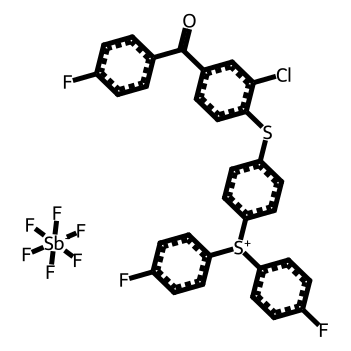 O=C(c1ccc(F)cc1)c1ccc(Sc2ccc([S+](c3ccc(F)cc3)c3ccc(F)cc3)cc2)c(Cl)c1.[F][Sb-]([F])([F])([F])([F])[F]